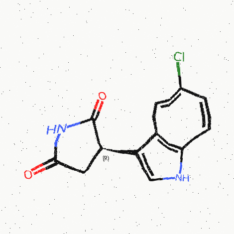 O=C1C[C@H](c2c[nH]c3ccc(Cl)cc23)C(=O)N1